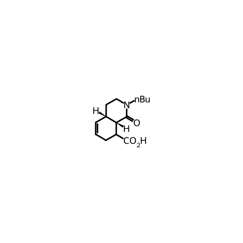 CCCCN1CC[C@H]2C=CCC(C(=O)O)[C@H]2C1=O